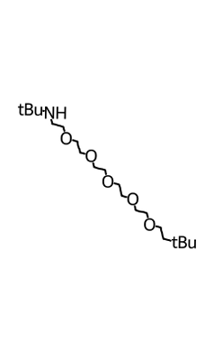 CC(C)(C)CCOCCOCCOCCOCCOCCNC(C)(C)C